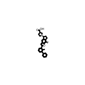 Cc1c(-c2ccccc2)cccc1-c1cc2cc3c(c(F)c2o1)CCC3N1CCC(C(=O)O)C1